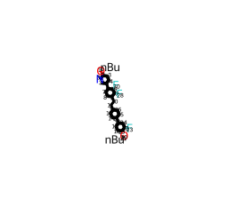 CCCCOc1ccc(-c2ccc(CCc3ccc(-c4ccc(OCCCC)c(F)c4)cc3)c(F)c2F)cn1